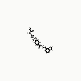 C=CC(=O)NC1CN(S(=O)(=O)c2ccc(C(=O)NCCc3cccc4c3OCC4)cc2)C1